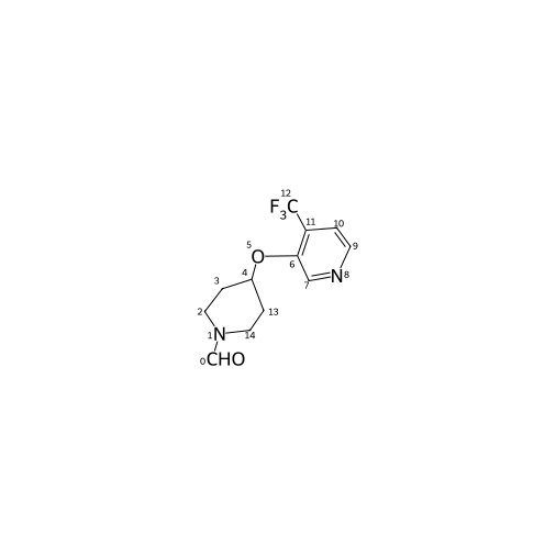 O=CN1CCC(Oc2cnccc2C(F)(F)F)CC1